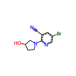 N#Cc1cc(Br)cnc1N1CC[C@@H](O)C1